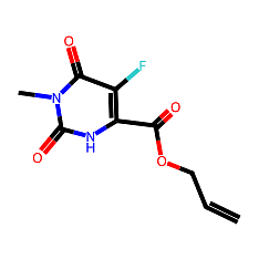 C=CCOC(=O)c1[nH]c(=O)n(C)c(=O)c1F